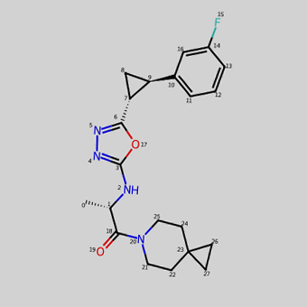 C[C@H](Nc1nnc([C@@H]2C[C@H]2c2cccc(F)c2)o1)C(=O)N1CCC2(CC1)CC2